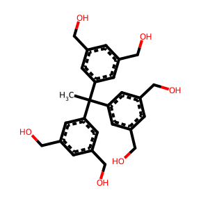 CC(c1cc(CO)cc(CO)c1)(c1cc(CO)cc(CO)c1)c1cc(CO)cc(CO)c1